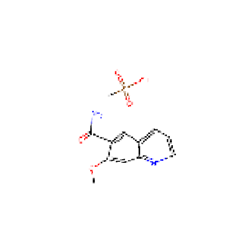 COc1cc2ncccc2cc1C(N)=O.CS(=O)(=O)O